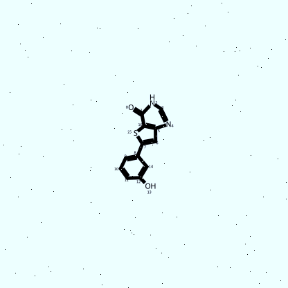 O=c1[nH]cnc2cc(-c3cccc(O)c3)sc12